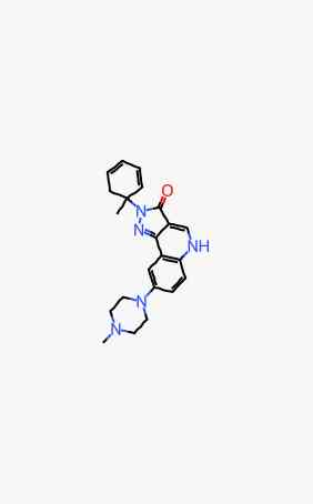 CN1CCN(c2ccc3[nH]cc4c(=O)n(C5(C)C=CC=CC5)nc-4c3c2)CC1